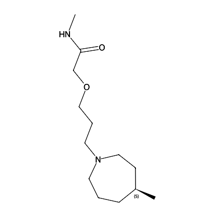 CNC(=O)COCCCN1CCC[C@H](C)CC1